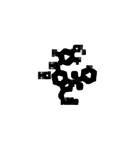 CNCc1cn(S(=O)(=O)c2cccnc2)c2cc(Nc3cc(F)c(C(F)(F)F)cc3F)ccc12.Cl